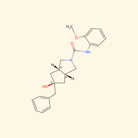 COc1ccccc1NC(=O)N1C[C@@H]2C[C@](O)(Cc3ccccc3)C[C@@H]2C1